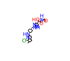 Cc1ccc2ccc(N[C@H]3CC[C@H](CNc4ncc(C(O)C(=O)NC5COC5)cn4)CC3)nc2c1Cl